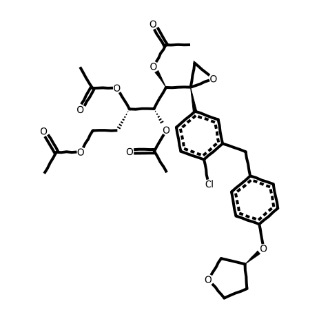 CC(=O)OCC[C@H](OC(C)=O)[C@@H](OC(C)=O)[C@@H](OC(C)=O)[C@]1(c2ccc(Cl)c(Cc3ccc(O[C@H]4CCOC4)cc3)c2)CO1